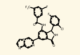 O=C(Nc1cc(-c2cn3ccnc3cn2)cc2c1C(c1cc(F)ccc1Cl)NC2=O)c1cc(F)cc(C(F)(F)F)c1